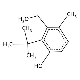 CCc1c(C)ccc(O)c1C(C)(C)C